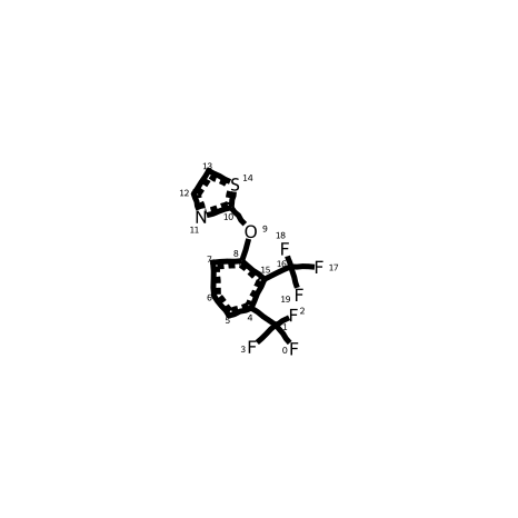 FC(F)(F)c1cccc(Oc2n[c]cs2)c1C(F)(F)F